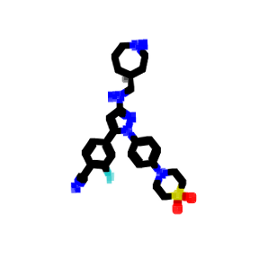 N#Cc1ccc(-c2cc(NC[C@H]3CCCNCC3)nn2-c2ccc(N3CCS(=O)(=O)CC3)cc2)cc1F